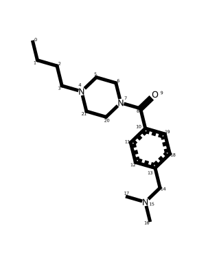 CCCCN1CCN(C(=O)c2ccc(CN(C)C)cc2)CC1